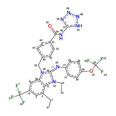 CCc1cc(C(F)(F)F)cc2c1n(CC)/c(=N\c1ccc(OC(F)(F)F)cc1)n2Cc1ccc(C(=O)Nc2nnn[nH]2)cc1